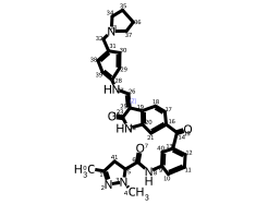 CC1=NN(C)C(C(=O)Nc2cccc(C(=O)c3ccc4c(c3)NC(=O)/C4=C\Nc3ccc(CN4CCCC4)cc3)c2)C1